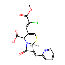 COC(=O)/C(Cl)=C/C1=CS[C@H]2/C(=C\c3ccccn3)C(=O)N2C1C(=O)O